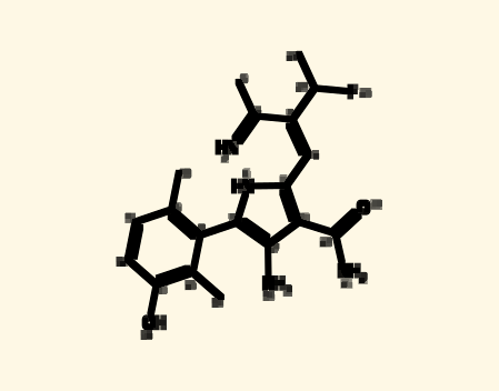 CC(=N)/C(=C\c1[nH]c(-c2c(C)ccc(O)c2C)c(N)c1C(N)=O)C(C)F